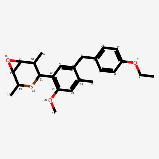 CCOc1ccc(Cc2cc(C3SC(C)C4OC4C3C)c(OC)cc2C)cc1